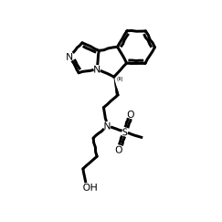 CS(=O)(=O)N(CCCO)CC[C@@H]1c2ccccc2-c2cncn21